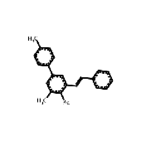 CC(=O)c1c(C)cc(-c2ccc(C)cc2)cc1/C=C/c1ccccc1